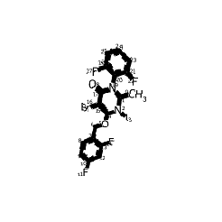 CC1N(I)C(OCc2ccc(F)cc2F)=C(Br)C(=O)N1c1c(F)cccc1F